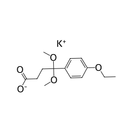 CCOc1ccc(C(CCC(=O)[O-])(OC)OC)cc1.[K+]